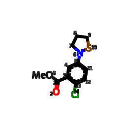 COC(=O)c1cc(N2CCCS2)ccc1Cl